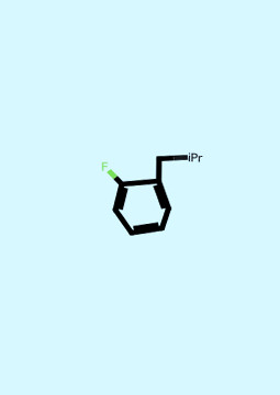 [CH2]C(C)Cc1ccccc1F